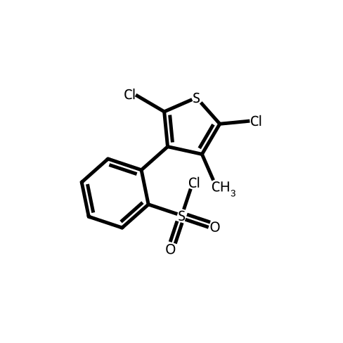 Cc1c(Cl)sc(Cl)c1-c1ccccc1S(=O)(=O)Cl